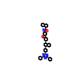 c1ccc(-c2nc(-c3ccccc3)nc(-c3ccc(-c4ccc(-c5ccc6c(c5)oc5cc7nc(-c8cccc9ccccc89)oc7cc56)c5ccccc45)cc3)n2)cc1